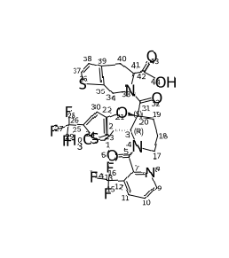 CCC[C@H]1N(C(=O)c2ncccc2C(F)(F)F)CCC[C@@]1(Oc1csc(C(F)(F)F)c1)C(=O)N1Cc2sccc2CC1C(=O)O